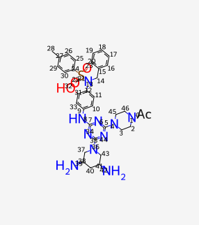 CC(=O)N1CCN(c2nc(Nc3ccc(N(Cc4ccccc4)S(=O)(=O)c4ccc(C)cc4)c(O)c3)nc(N3C[C@H](N)C[C@H](N)C3)n2)CC1